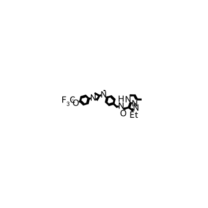 CCc1nn2c(C)ccnc2c1C(=O)NCc1ccc(N(C)C2CN(c3ccc(OC(F)(F)F)cc3)C2)cc1